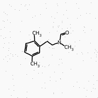 Cc1ccc(C)c(CCN(C)C=O)c1